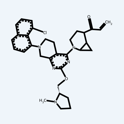 C=CC(=O)C1CCN(c2nc(OC[C@@H]3CCCN3C)nc3c2CCN(c2cccc4cccc(Cl)c24)C3)C2CC12